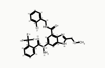 COCc1nc2c(C(=O)NCc3ccccc3Cl)cc(N(N)C(=O)c3ccccc3C(F)(F)F)cc2[nH]1